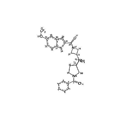 O=C(c1ccccc1)N1CCC(NC2CN(C(=O)c3cc4cc(OC(F)(F)F)ccc4s3)C2)C1